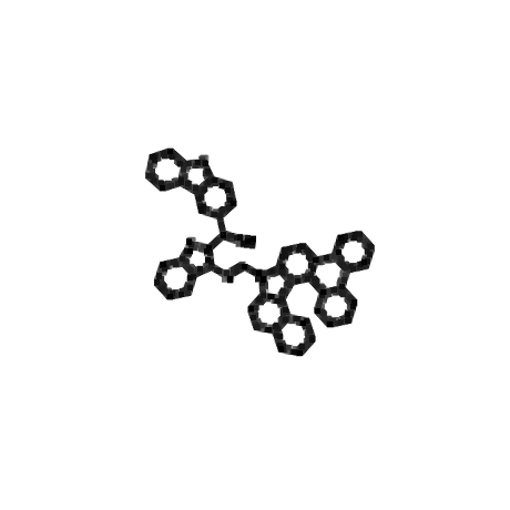 N=C(c1ccc2sc3ccccc3c2c1)c1sc2ccccc2c1/N=C/n1c2ccc3ccccc3c2c2c3c4ccccc4c4ccccc4c3ccc21